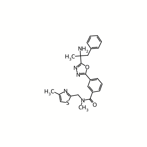 Cc1csc(CN(C)C(=O)c2cccc(-c3nnc(C(C)(N)Cc4ccccc4)o3)c2)n1